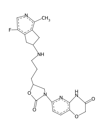 Cc1ncc(F)c2c1CC(NCCCC1CN(c3ccc4c(n3)NC(=O)CO4)C(=O)O1)C2